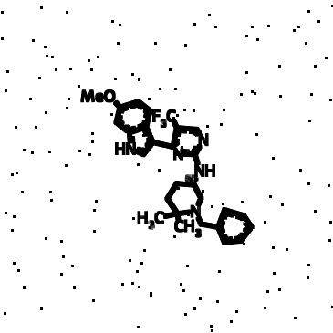 COc1ccc2c(-c3nc(N[C@H]4CCC(C)(C)N(Cc5ccccc5)C4)ncc3C(F)(F)F)c[nH]c2c1